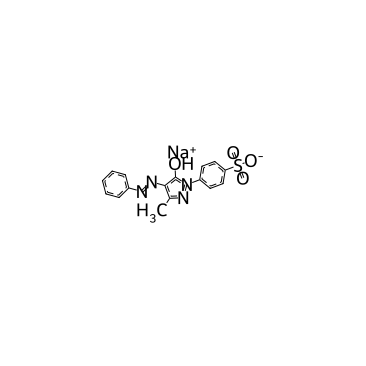 Cc1nn(-c2ccc(S(=O)(=O)[O-])cc2)c(O)c1/N=N/c1ccccc1.[Na+]